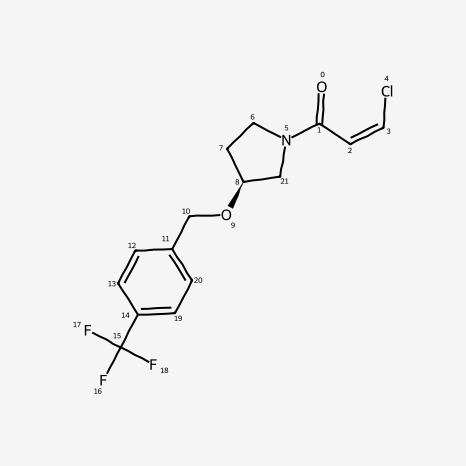 O=C(/C=C\Cl)N1CC[C@H](OCc2ccc(C(F)(F)F)cc2)C1